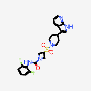 O=C(Nc1c(F)cccc1F)N1CC(S(=O)(=O)N2CCC(c3c[nH]c4ncccc34)CC2)C1